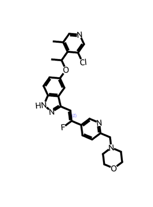 Cc1cncc(Cl)c1C(C)Oc1ccc2[nH]nc(/C=C(\F)c3ccc(CN4CCOCC4)nc3)c2c1